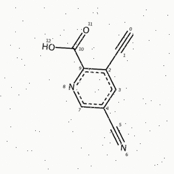 C#Cc1cc(C#N)cnc1C(=O)O